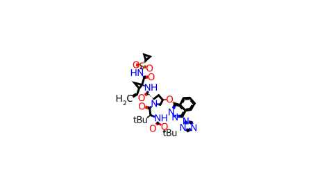 C=CC1C[C@]1(NC(=O)[C@@H]1C[C@@H](Oc2nnc(-n3cncn3)c3ccccc23)CN1C(=O)[C@@H](NC(=O)OC(C)(C)C)C(C)(C)C)C(=O)NS(=O)(=O)C1CC1